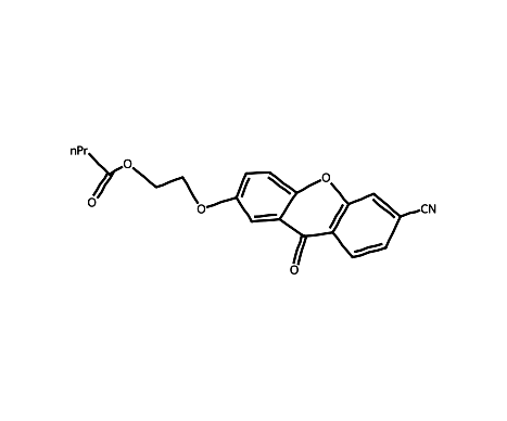 CCCC(=O)OCCOc1ccc2oc3cc(C#N)ccc3c(=O)c2c1